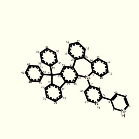 C1=CNCC(c2cc(N3c4ccccc4-c4ccccc4-c4cc5c(cc43)-c3ccccc3C5(c3ccccc3)c3ccccc3)ccn2)=C1